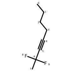 CCCCC#CC(C)(F)F